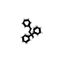 CC([CH]Cc1ccccc1)(c1ccccc1)c1ccccc1